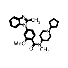 COc1cc(-n2c(C)nc3ccccc32)ccc1C(=O)N(C)C1CCN(C2CCCC2)CC1